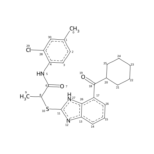 Cc1ccc(NC(=O)C(C)Sc2nc3cccc(C(=O)C4CCCCC4)c3[nH]2)c(Cl)c1